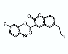 O=C(Oc1cc(F)ccc1Br)c1cc2cc(CCI)ccc2oc1=O